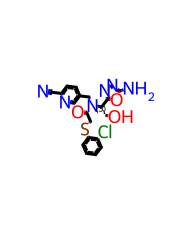 N#Cc1ccc(CN(C(=O)CSc2ccccc2Cl)[C@@H](CO)c2nnc(N)o2)cn1